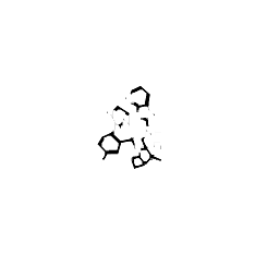 C[C@H]1C2CC(C2)N(C(=O)c2cc(Cl)ccc2-n2nccn2)[C@H]1CNc1nc2cccnc2o1